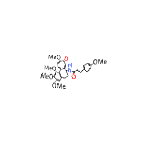 COc1ccc(CCC(=O)NC2CCc3cc(OC)c(OC)c(OC)c3-c3ccc(OC)c(=O)cc32)cc1